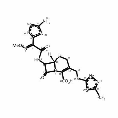 CON=C(C(=O)NC1C(=O)N2C(C(=O)O)=C(CSc3nnc(C(F)(F)F)s3)CS[C@@H]12)c1nsc(N)n1